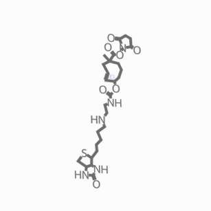 CC1(C(=O)ON2C(=O)CCC2=O)C/C=C/C(OC(=O)NCCNCCCCCC2SCC3NC(=O)NC32)CCC1